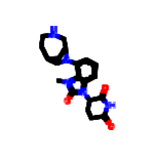 Cn1c(=O)n(C2CCC(=O)NC2=O)c2cccc(N3CC4CCNCC3C4)c21